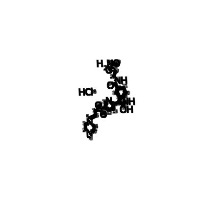 CN1CCN(C=CCS(=O)(=O)c2ccc(-c3c(O)[nH]c4ccc(C(=O)NCCS(N)(=O)=O)cc34)nc2)CC1.Cl